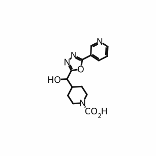 O=C(O)N1CCC(C(O)c2nnc(-c3cccnc3)o2)CC1